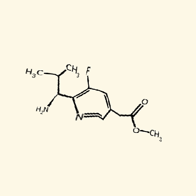 COC(=O)c1cnc([C@@H](N)C(C)C)c(F)c1